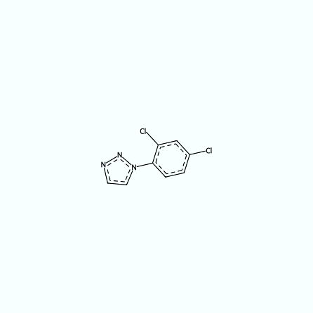 Clc1ccc(-n2ccnn2)c(Cl)c1